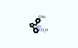 CC(=O)Oc1ccc(C2Nc3c(C(=O)O)cccc3C3C=CCC32)cc1